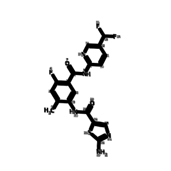 Cc1cc(F)c(C(=O)Nc2ccc(C(F)F)cn2)cc1NC(=O)c1cnc(N)s1